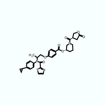 CC(COc1ccc(C(=O)O[C@H]2CCCN(C(=O)[C@H]3COC(=O)C3)C2)cc1)N(C(=O)c1nccs1)c1ccc(C2CC2)cc1